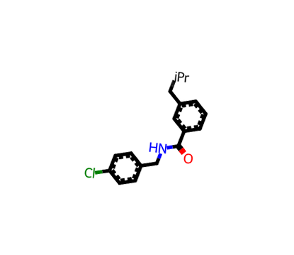 CC(C)Cc1cccc(C(=O)NCc2ccc(Cl)cc2)c1